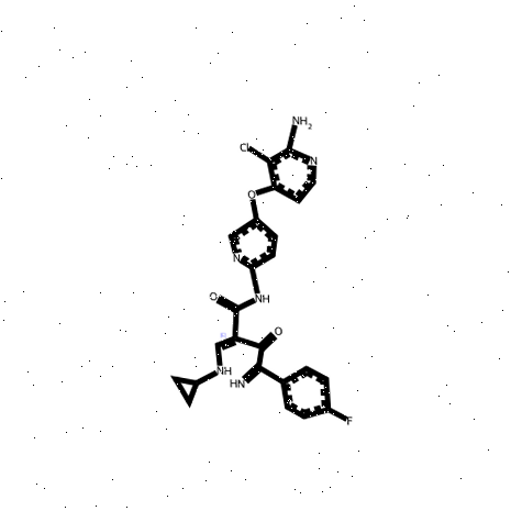 N=C(C(=O)/C(=C\NC1CC1)C(=O)Nc1ccc(Oc2ccnc(N)c2Cl)cn1)c1ccc(F)cc1